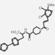 CSc1ccc(C=CC(=O)N2CCC(C(=O)NC(Cc3ccc(-c4ccccc4)cc3)C(=O)O)CC2)c(Cl)c1Cl